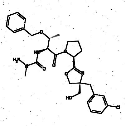 C[C@@H](OCc1ccccc1)[C@H](NC(=O)N(C)N)C(=O)N1CCC[C@H]1C1=N[C@](CO)(Cc2cccc(Cl)c2)CO1